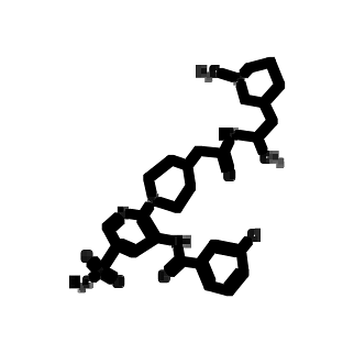 CC(CC1CCCN(C)C1)NC(=O)CC1CCN(c2ncc(S(C)(=O)=O)cc2NC(=O)c2cccc(Cl)c2)CC1